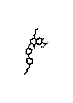 CCCCCCN(Cc1ccc(-c2ccc(CCCC)cc2)cc1)C(=O)c1ccc(F)c(C(=O)O)c1